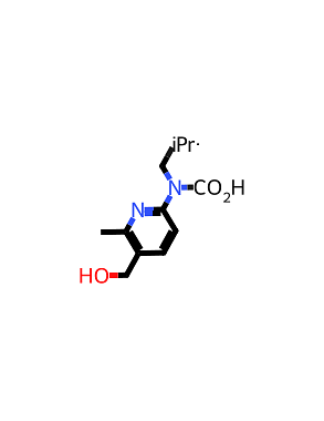 C[C](C)CN(C(=O)O)c1ccc(CO)c(C)n1